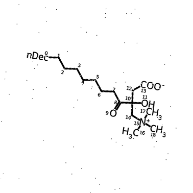 CCCCCCCCCCCCCCCCCC(=O)C(O)(CC(=O)[O-])C[N+](C)(C)C